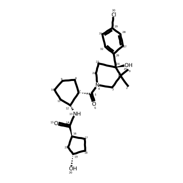 CC1(C)CN(C(=O)[C@H]2CCCC[C@H]2NC(=O)[C@H]2CC[C@H](O)C2)CC[C@]1(O)c1ccc(Cl)cc1